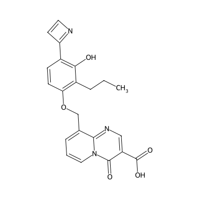 CCCc1c(OCc2cccn3c(=O)c(C(=O)O)cnc23)ccc(C2=NC=C2)c1O